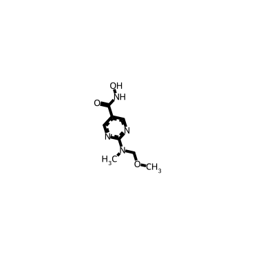 COCN(C)c1ncc(C(=O)NO)cn1